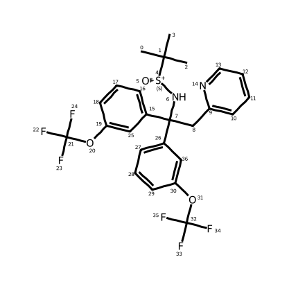 CC(C)(C)[S@@+]([O-])NC(Cc1ccccn1)(c1cccc(OC(F)(F)F)c1)c1cccc(OC(F)(F)F)c1